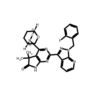 CC1(C)C(=O)Nc2nc(-c3nn(Cc4ccccc4F)c4ncccc34)nc(N3C[C@@H]4CC[C@H]3CO4)c21